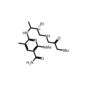 CC[C@H](CNCC(=O)CC(C)(C)C)C(C)Nc1nc(NC)c(C(N)=O)cc1C